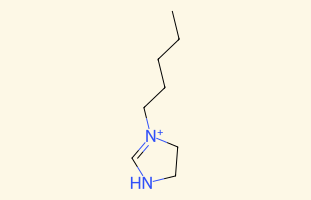 CCCCC[N+]1=CNCC1